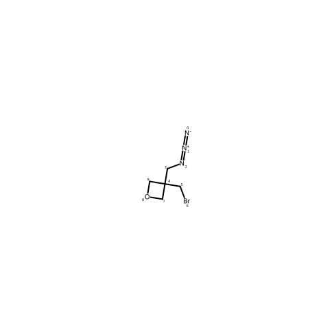 [N-]=[N+]=NCC1(CBr)COC1